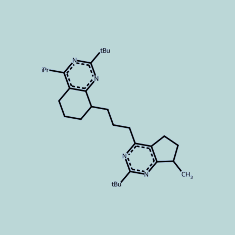 CC(C)c1nc(C(C)(C)C)nc2c1CCCC2CCCc1nc(C(C)(C)C)nc2c1CCC2C